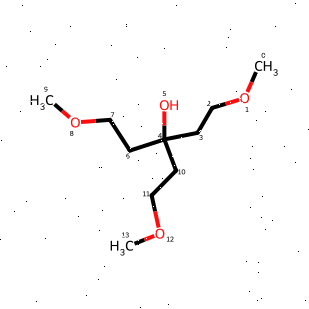 COCCC(O)(CCOC)CCOC